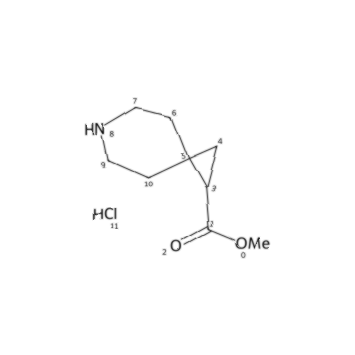 COC(=O)C1CC12CCNCC2.Cl